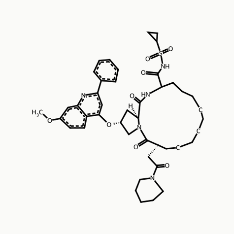 COc1ccc2c(O[C@@H]3C[C@H]4C(=O)NC(C(=O)NS(=O)(=O)C5CC5)CCCCCCCCC[C@H](CC(=O)N5CCCCC5)C(=O)N4C3)cc(-c3ccccc3)nc2c1